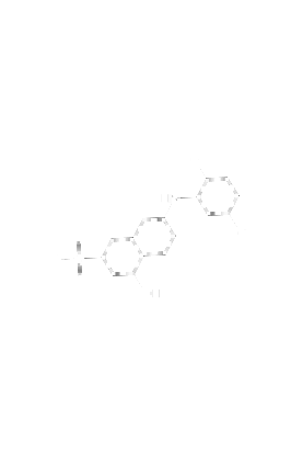 O=S(=O)(O)c1cc(O)c2ccc(Nc3cc(Cl)ccc3O)cc2c1